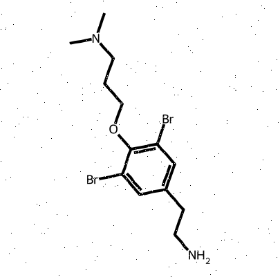 CN(C)CCCOc1c(Br)cc(CCN)cc1Br